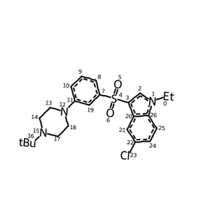 CCn1cc(S(=O)(=O)c2cccc(N3CCN(C(C)(C)C)CC3)c2)c2cc(Cl)ccc21